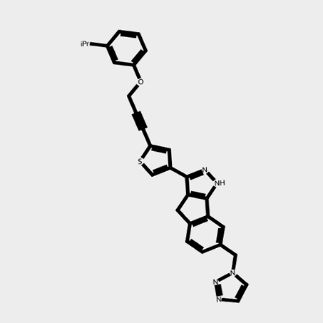 CC(C)c1cccc(OCC#Cc2cc(-c3n[nH]c4c3Cc3ccc(Cn5ccnn5)cc3-4)cs2)c1